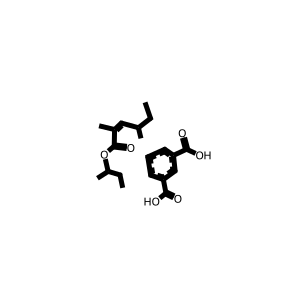 CCC(C)C=C(C)C(=O)OC(C)CC.O=C(O)c1cccc(C(=O)O)c1